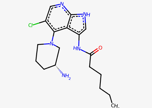 CCCCCC(=O)Nc1c[nH]c2ncc(Cl)c(N3CCC[C@@H](N)C3)c12